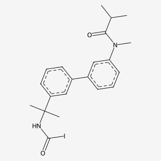 CC(C)C(=O)N(C)c1cccc(-c2cccc(C(C)(C)NC(=O)I)c2)c1